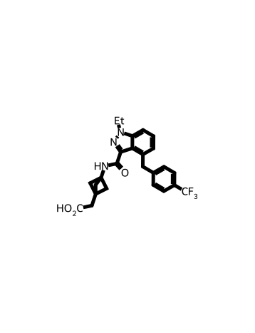 CCn1nc(C(=O)NC23CC(CC(=O)O)(C2)C3)c2c(Cc3ccc(C(F)(F)F)cc3)cccc21